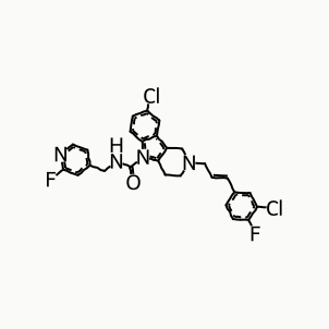 O=C(NCc1ccnc(F)c1)n1c2c(c3cc(Cl)ccc31)CN(CC=Cc1ccc(F)c(Cl)c1)CC2